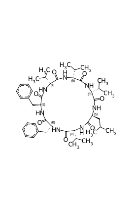 CC(C)C[C@@H]1NC(=O)[C@@H](C(C)C)NC(=O)[C@@H](C(C)C)NC(=O)[C@@H](C(C)C)NC(=O)[C@H](Cc2ccccc2)NC(=O)[C@@H](Cc2ccccc2)NC(=O)[C@@H](C(C)C)NC1=O